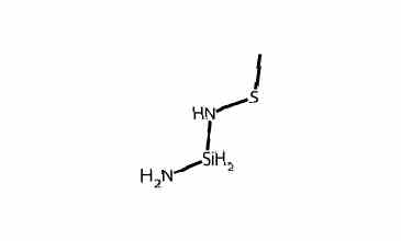 CSN[SiH2]N